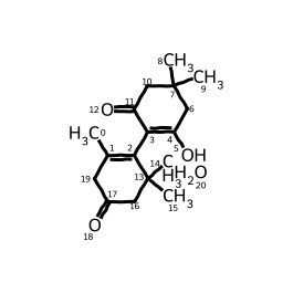 CC1=C(C2=C(O)CC(C)(C)CC2=O)C(C)(C)CC(=O)C1.O